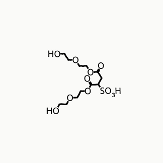 O=C(CC(C(=O)OCCOCCO)S(=O)(=O)O)OCCOCCO